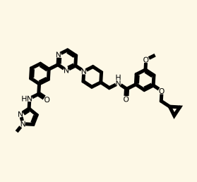 COc1cc(OCC2CC2)cc(C(=O)NCC2CCN(c3ccnc(-c4cccc(C(=O)Nc5ccn(C)n5)c4)n3)CC2)c1